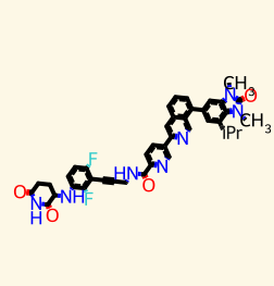 CC(C)c1cc(-c2cccc3cc(-c4ccc(C(=O)NCC#Cc5c(F)ccc(NC6CCC(=O)NC6=O)c5F)nc4)ncc23)cc2c1n(C)c(=O)n2C